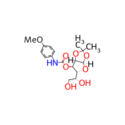 COc1ccc(NC(=O)O[C@H]2[C@H]3OC(C)(C)O[C@H]3O[C@@H]2[C@H](O)CO)cc1